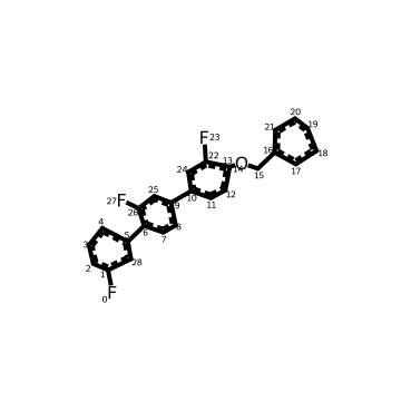 Fc1cccc(-c2ccc(-c3ccc(OCc4ccccc4)c(F)c3)cc2F)c1